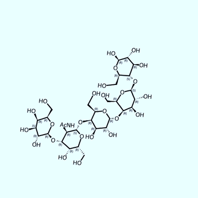 CC(=O)N[C@H]1[C@H](O[C@@H]2[C@H](O)[C@@H](O)[C@@H](O[C@@H]3[C@H](O)[C@@H](O)[C@H](O[C@H]4[C@H](O)[C@@H](O)[C@H](O)O[C@@H]4CO)O[C@@H]3CO)O[C@@H]2CO)O[C@H](CO)[C@H](O)[C@@H]1O[C@@H]1O[C@H](CO)[C@H](O)[C@H](O)[C@H]1O